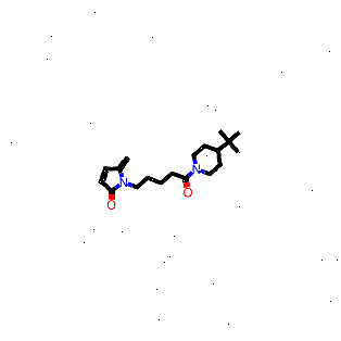 C=C1C=CC(=O)N1CCCCC(=O)N1CCC(C(C)(C)C)CC1